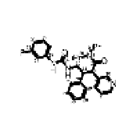 CC(C)N(C(=O)C(c1cccnc1)C(CNC(=O)Nc1cccc(F)c1)c1ccccc1)C(C)C